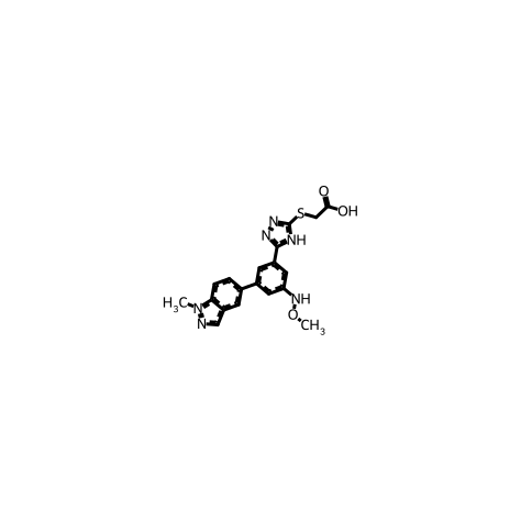 CONc1cc(-c2ccc3c(cnn3C)c2)cc(-c2nnc(SCC(=O)O)[nH]2)c1